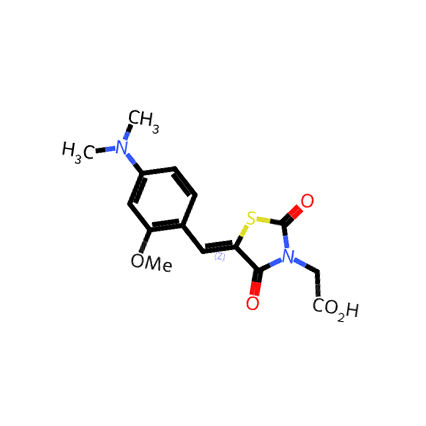 COc1cc(N(C)C)ccc1/C=C1\SC(=O)N(CC(=O)O)C1=O